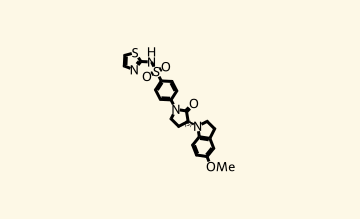 COc1ccc2c(c1)CCN2[C@H]1CCN(c2ccc(S(=O)(=O)Nc3nccs3)cc2)C1=O